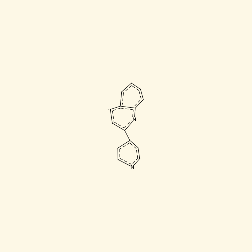 [c]1cc(-c2ccncc2)nc2ccccc12